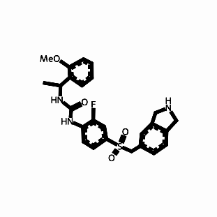 COc1ccccc1C(C)NC(=O)Nc1ccc(S(=O)(=O)Cc2ccc3c(c2)CNC3)cc1F